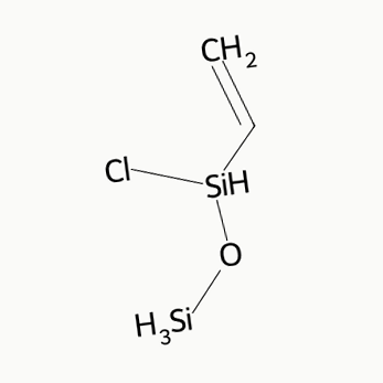 C=C[SiH](Cl)O[SiH3]